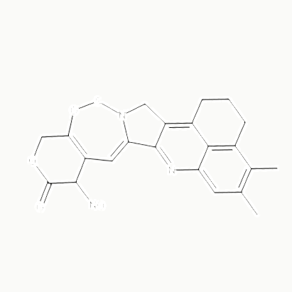 Cc1cc2nc3c(c4c2c(c1C)CCC4)Cn1soc2c(cc1-3)C(N=O)C(=O)OC2